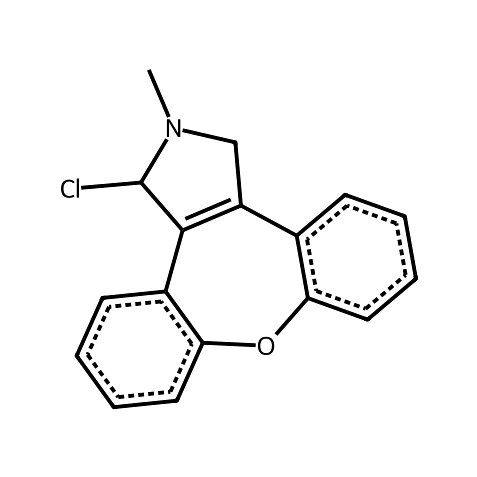 CN1CC2=C(c3ccccc3Oc3ccccc32)C1Cl